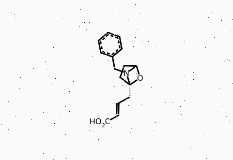 O=C(O)/C=C/C[C@@]12CCC(O1)N2Cc1ccccc1